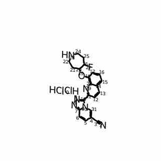 Cl.Cl.N#Cc1ccc2nnc(-c3ccc4cccc(OC5CCNCCC5F)c4n3)n2c1